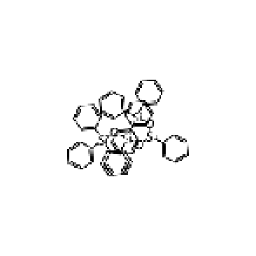 c1ccc([Si](O[Si](O[Si](c2ccccc2)(c2ccccc2)c2ccccc2)(c2ccccc2)c2ccccc2)O[Si](c2ccccc2)(c2ccccc2)c2ccccc2)cc1